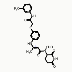 C/C(=C\C(=O)N(C=O)C1CCC(=O)NC1=O)Nc1cccc(SCC(=O)Nc2cccc(C(F)(F)F)c2)c1